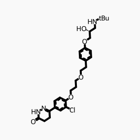 CC(C)(C)NC[C@@H](O)COc1ccc(CCOCCCOc2ccc(C3=NNC(=O)CC3)cc2Cl)cc1